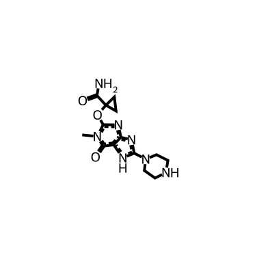 Cn1c(OC2(C(N)=O)CC2)nc2nc(N3CCNCC3)[nH]c2c1=O